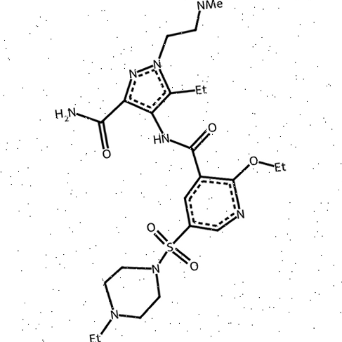 CCOc1ncc(S(=O)(=O)N2CCN(CC)CC2)cc1C(=O)Nc1c(C(N)=O)nn(CCNC)c1CC